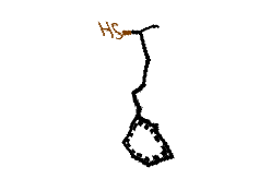 CC(S)CCc1ccccc1